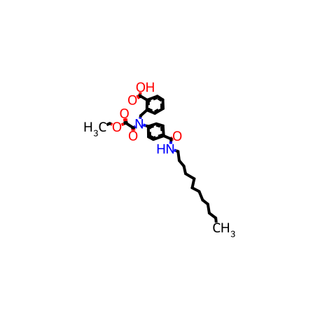 CCCCCCCCCCCCNC(=O)c1ccc(N(Cc2ccccc2C(=O)O)C(=O)C(=O)OCC)cc1